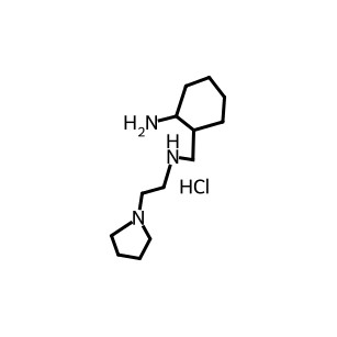 Cl.NC1CCCCC1CNCCN1CCCC1